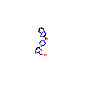 C[C@@H]1CN(C(=O)c2cn3ccccc3n2)C[C@H](C)N1c1ccnc([C@@H](C)O)n1